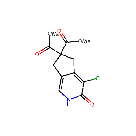 COC(=O)C1(C(=O)OC)Cc2c[nH]c(=O)c(Cl)c2C1